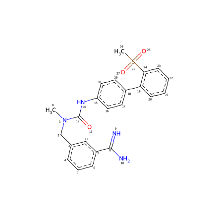 CN(Cc1cccc(C(=N)N)c1)C(=O)Nc1ccc(-c2ccccc2S(C)(=O)=O)cc1